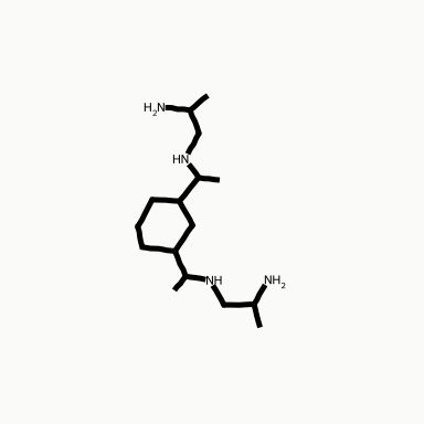 CC(N)CNC(C)C1CCCC(C(C)NCC(C)N)C1